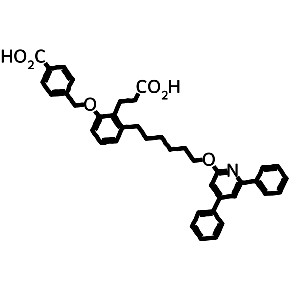 O=C(O)CCc1c(CCCCCCOc2cc(-c3ccccc3)cc(-c3ccccc3)n2)cccc1OCc1ccc(C(=O)O)cc1